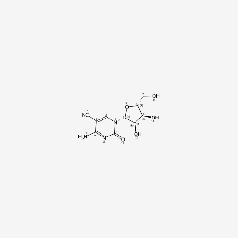 N#Cc1cn([C@@H]2O[C@H](CO)[C@@H](O)[C@H]2O)c(=O)nc1N